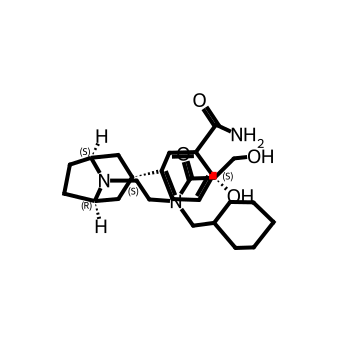 NC(=O)c1cccc([C@@H]2C[C@H]3CC[C@@H](C2)N3CCN(CC2CCCCC2)C(=O)[C@@H](O)CO)c1